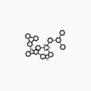 c1ccc(-c2cc(-c3ccccc3)cc(-c3cccc(-c4nc(-c5ccccc5)nc(-c5cccc6sc7ccc(-c8ccc9c(c8)c8ccccc8n9-c8ccc9c%10ccccc%10c%10ccccc%10c9c8)cc7c56)n4)c3)c2)cc1